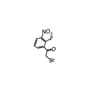 O=C(CBr)c1cccc([N+](=O)[O-])c1F